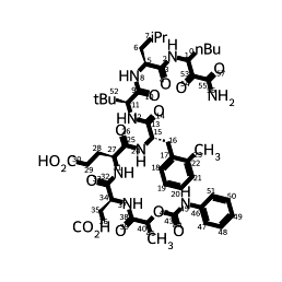 CCCCC(NC(=O)[C@H](CC(C)C)NC(=O)[C@@H](NC(=O)[C@H](Cc1ccccc1C)NC(=O)[C@H](CCC(=O)O)NC(=O)[C@H](CC(=O)O)NC(=O)C(C)OC(=O)Nc1ccccc1)C(C)(C)C)C(=O)C(N)=O